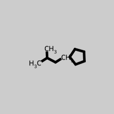 C1CCCC1.CCC(C)C